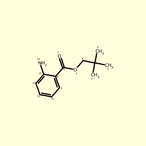 CC(C)(C)COC(=O)c1ccccc1N